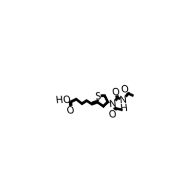 CC(=O)NC(=O)N(C(C)=O)[C@H]1CS/C(=C\CCCC(=O)O)C1